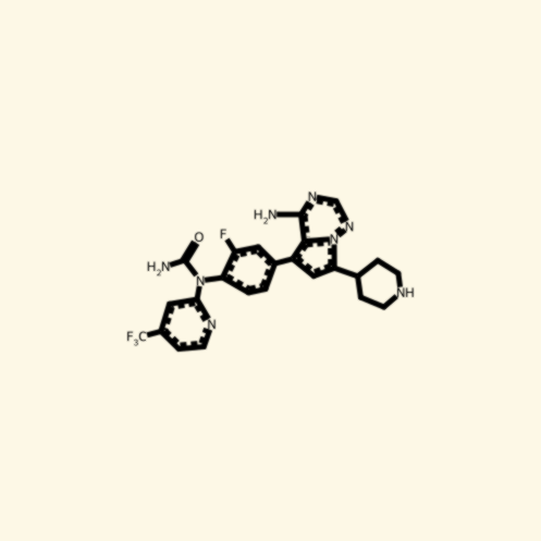 NC(=O)N(c1cc(C(F)(F)F)ccn1)c1ccc(-c2cc(C3CCNCC3)n3ncnc(N)c23)cc1F